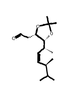 CC(C)[C@H](C)/C=C\[C@@H](C)[C@H]1OC(C)(C)O[C@H]1CC=O